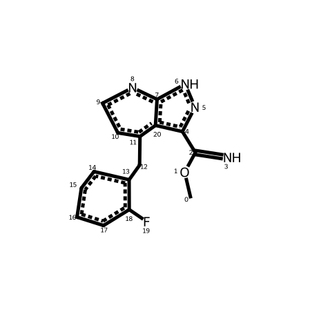 COC(=N)c1n[nH]c2nccc(Cc3ccccc3F)c12